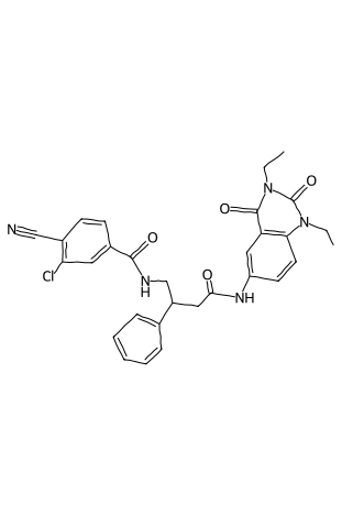 CCn1c(=O)c2cc(NC(=O)CC(CNC(=O)c3ccc(C#N)c(Cl)c3)c3ccccc3)ccc2n(CC)c1=O